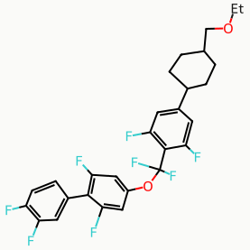 CCOCC1CCC(c2cc(F)c(C(F)(F)Oc3cc(F)c(-c4ccc(F)c(F)c4)c(F)c3)c(F)c2)CC1